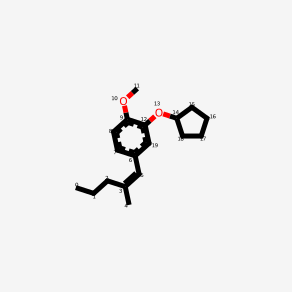 CCCC(C)=Cc1ccc(OC)c(OC2CCCC2)c1